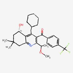 COC(C)c1nc2c(c(C3CCCCC3)c1C(=O)c1ccc(C(F)(F)F)cc1)[C@@H](O)CC(C)(C)C2